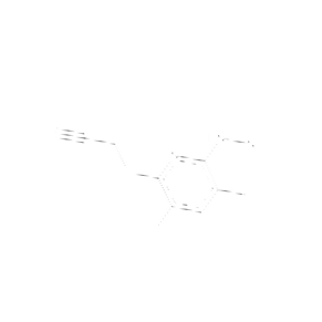 C#CCOc1nc(NN)c(C(F)(F)F)cc1Cl